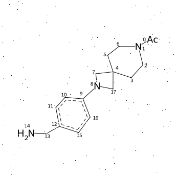 CC(=O)N1CCC2(CC1)CN(c1ccc(CN)cc1)C2